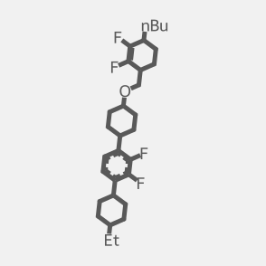 CCCCC1CCC(COC2CCC(c3ccc(C4CCC(CC)CC4)c(F)c3F)CC2)C(F)=C1F